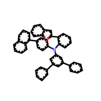 c1ccc(-c2cc(-c3ccccc3)cc(N(c3ccc(-c4cccc5ccccc45)cc3)c3ccccc3-c3cc4ccccc4o3)c2)cc1